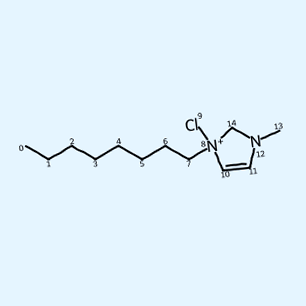 CCCCCCCC[N+]1(Cl)C=CN(C)C1